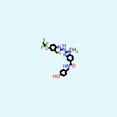 Cn1c(NC2=Nc3ccc(OC(F)(F)CF)cc3CS2)nc2cc(C(=O)NCc3ccc(O)cc3)ccc21